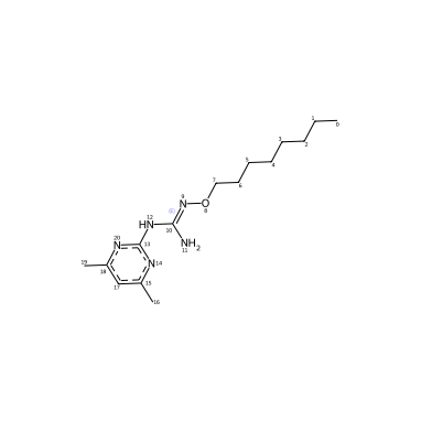 CCCCCCCCO/N=C(\N)Nc1nc(C)cc(C)n1